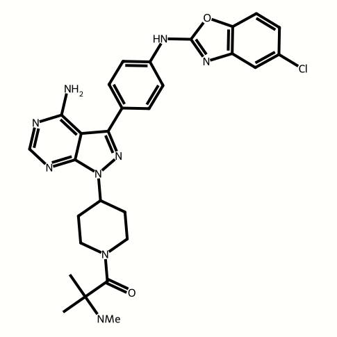 CNC(C)(C)C(=O)N1CCC(n2nc(-c3ccc(Nc4nc5cc(Cl)ccc5o4)cc3)c3c(N)ncnc32)CC1